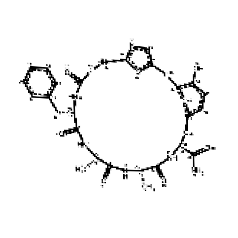 C[C@@H]1NC(=O)[C@H](C)NC(=O)[C@H](Cc2ccccc2)NC(=O)CNc2ncc(s2)Cc2cc(ccc2O)C[C@@H](C(N)=O)NC1=O